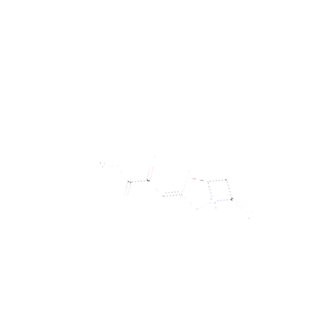 COC(=O)C(=O)/C=C1/CN2C(=O)CC2O1